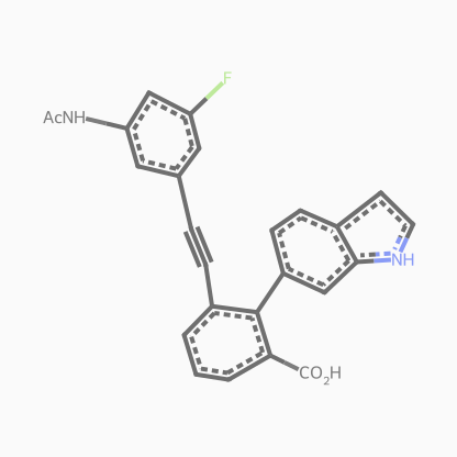 CC(=O)Nc1cc(F)cc(C#Cc2cccc(C(=O)O)c2-c2ccc3cc[nH]c3c2)c1